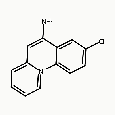 [NH]c1cc2cccc[n+]2c2ccc(Cl)cc12